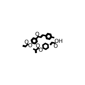 C=C(C)C(=O)OC1CCCCC1.C=CC(=O)O.C=CC(=O)Oc1ccc(C(=O)C=Cc2ccc(C)cc2)cc1